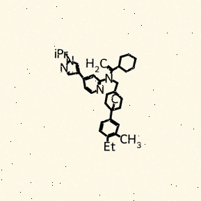 C=C(C1CCCCC1)N(CC12CCC(c3ccc(CC)c(C)c3)(CC1)CC2)c1cc(-c2cnn(C(C)C)c2)ccn1